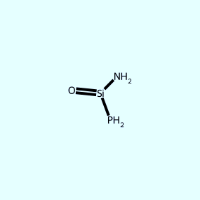 N[Si](=O)P